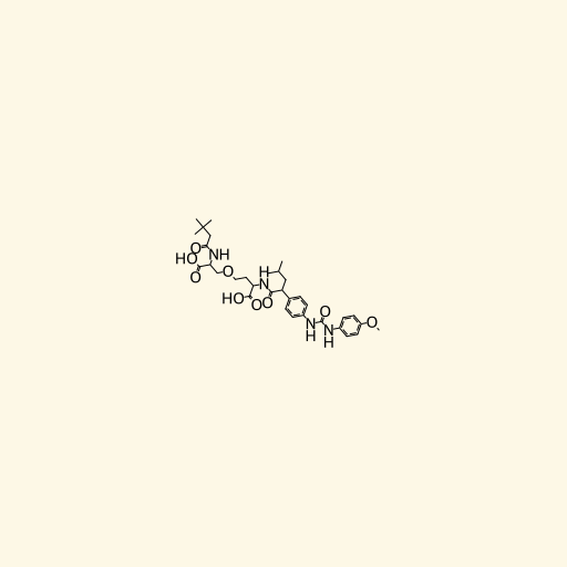 COc1ccc(NC(=O)Nc2ccc(C(CC(C)C)C(=O)NC(CCOCC(NC(=O)CC(C)(C)C)C(=O)O)C(=O)O)cc2)cc1